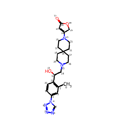 Cc1cc(-n2cnnn2)ccc1[C@@H](O)CN1CCC2(CC1)CCN(C1=CC(=O)OC1)CC2